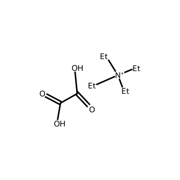 CC[N+](CC)(CC)CC.O=C(O)C(=O)O